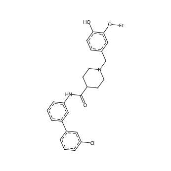 CCOc1cc(CN2CCC(C(=O)Nc3cccc(-c4cccc(Cl)c4)c3)CC2)ccc1O